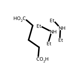 CCNCC.CCNCC.O=C(O)CCCC(=O)O